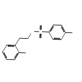 Cc1ccc(S(=O)(=O)OCCc2ccccc2O)cc1